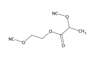 CC(OC#N)C(=O)OCCOC#N